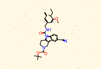 C=C/C=C(\C=C(\OC)C(C)CC)CNC(=O)n1c2c(c3cc(C#N)ccc31)CN(C(=O)OC(C)(C)C)CC2